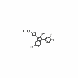 CC(C)c1c([C@H]2C[C@H](C(=O)O)C2)c2cc(O)ccc2n1-c1ccc(F)c(F)c1